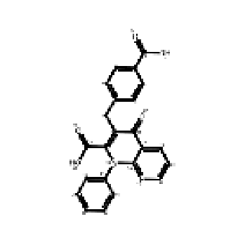 O=C(O)c1ccc(Cc2c(C(=O)O)n(-c3ccccc3)c3ncccc3c2=O)cc1